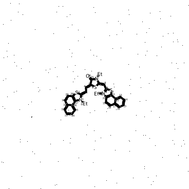 CCN1/C(=C/C=c2\s/c(=C\c3sc4c5ccccc5ccc4[n+]3CC)n(CC)c2=O)Sc2ccc3ccccc3c21